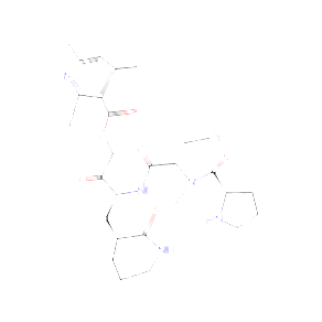 Cc1cc(C)c(C(=O)OCC(=O)[C@H](C[C@@H]2CCCNC2=O)NC(=O)[C@H](CC(C)C)N(C)C(=O)[C@H]2CCCN2)c(C)n1